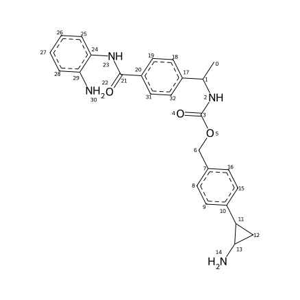 CC(NC(=O)OCc1ccc(C2CC2N)cc1)c1ccc(C(=O)Nc2ccccc2N)cc1